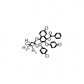 CC(C)(C)CC(=O)Oc1c(Oc2ccc(Cl)cc2)c(Oc2ccc(Cl)cc2)c(OC(=O)c2ccccc2)c2cc(Cl)ccc12